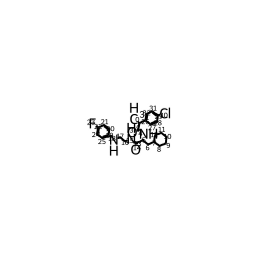 CC(C(=O)NC(CC1CCCCC1)C(=O)NCCNc1ccc(F)cc1)c1ccc(Cl)cc1